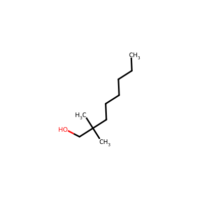 CCCCCCC(C)(C)CO